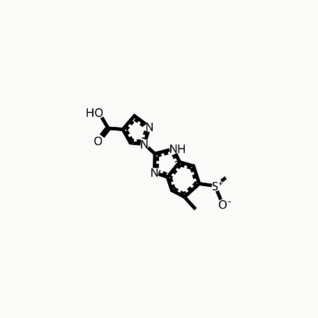 Cc1cc2nc(-n3cc(C(=O)O)cn3)[nH]c2cc1[S+](C)[O-]